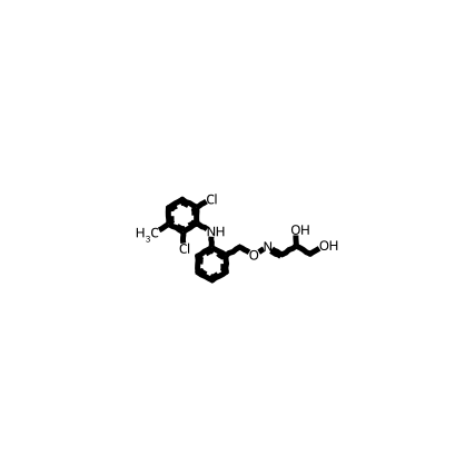 Cc1ccc(Cl)c(Nc2ccccc2CON=CC(O)CO)c1Cl